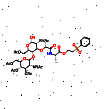 CC(=O)N[C@@H]1[C@@H](O[C@H](C)C(=O)N[C@@H](C)C(=O)OCCS(=O)(=O)c2ccccc2)[C@H](O[C@@H]2O[C@H](COC(C)=O)[C@@H](OC(C)=O)[C@H](OC(C)=O)[C@H]2NC(C)=O)[C@@H](COC(C)=O)O[C@@H]1O